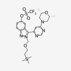 C[C@@H]1CN(c2cc(-c3c4cc(OS(=O)(=O)C(F)(F)F)ccc4nn3COCC[Si](C)(C)C)ncn2)C[C@H](C)O1